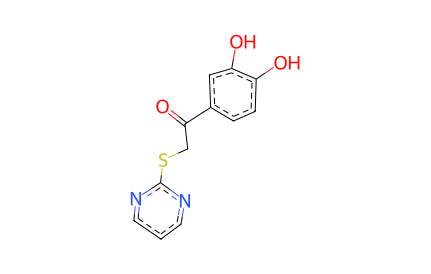 O=C(CSc1ncccn1)c1ccc(O)c(O)c1